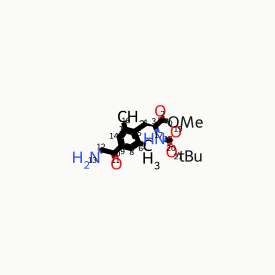 COC(=O)[C@H](Cc1c(C)cc(C(=O)CN)cc1C)NC(=O)OC(C)(C)C